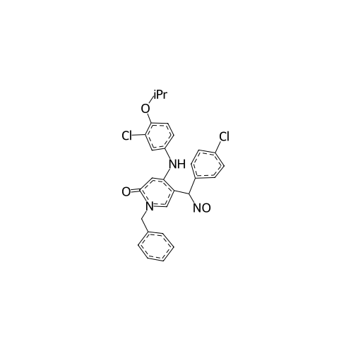 CC(C)Oc1ccc(Nc2cc(=O)n(Cc3ccccc3)cc2C(N=O)c2ccc(Cl)cc2)cc1Cl